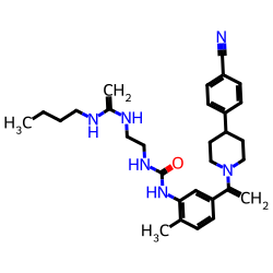 C=C(NCCCC)NCCNC(=O)Nc1cc(C(=C)N2CCC(c3ccc(C#N)cc3)CC2)ccc1C